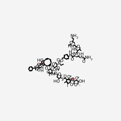 CCN(C(=O)OCc1ccc(NC(=O)[C@H](CCCNC(N)=O)NC(=O)[C@@H](NC(=O)[C@H](CCCCN)NC(C)=O)C(C)C)cc1)[C@H]1CO[C@@H](O[C@H]2[C@H](O[C@H]3C#CC=CC#C[C@]4(O)CC(=O)C(NC(=O)OC)=C3/C4=C\CSSC(C)(C)c3ccccc3)O[C@H](C)[C@@H](NO[C@H]3C[C@H](O)[C@H](SC(=O)c4c(C)c(I)c(O[C@@H]5O[C@@H](C)[C@H](O)[C@@H](OC)[C@H]5O)c(OC)c4OC)[C@@H](C)O3)[C@@H]2O)C[C@@H]1OC